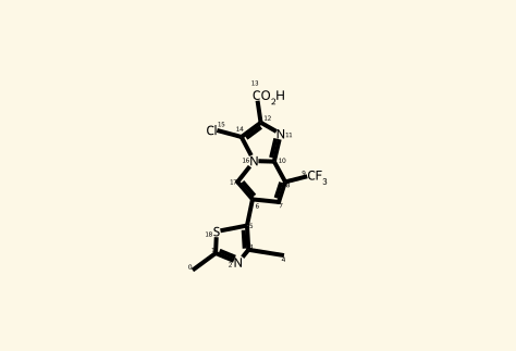 Cc1nc(C)c(-c2cc(C(F)(F)F)c3nc(C(=O)O)c(Cl)n3c2)s1